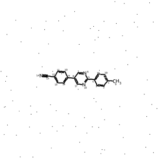 Cc1ccc(-c2ncc(-c3ccc(C#N)cc3)cn2)cc1